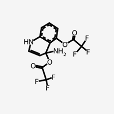 NC1(OC(=O)C(F)(F)F)C=CNc2cccc(OC(=O)C(F)(F)F)c21